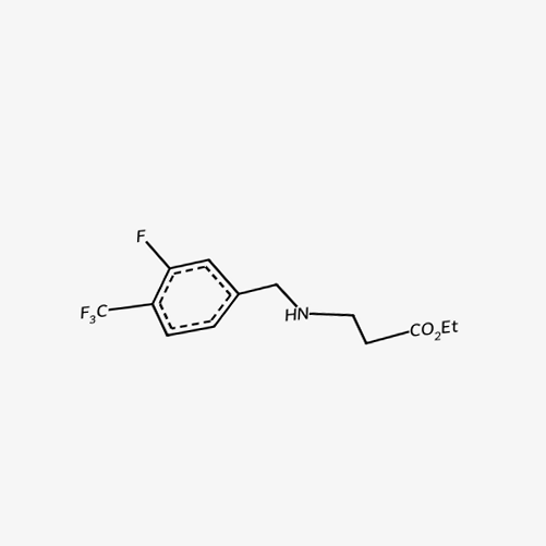 CCOC(=O)CCNCc1ccc(C(F)(F)F)c(F)c1